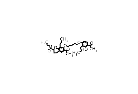 CCCc1c(OCCCCCOc2c(C(C)=O)cc3c(c2CCC)OC(C(=O)OCC)CC3)ccc(C(C)=O)c1O